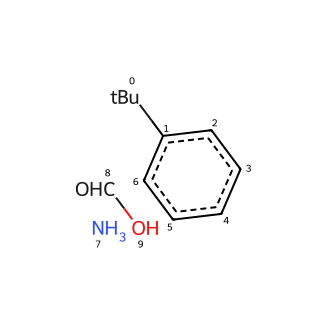 CC(C)(C)c1ccccc1.N.O=CO